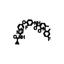 Cc1cc(F)ccc1-n1c(C)ccc(C(=O)Nc2ccc(Oc3ccc4nc(NC(=O)C5CC5)cn4c3)c(F)c2)c1=O